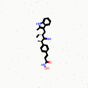 CC[C@H](Cc1c(C)[nH]c2ccccc12)C(=N)[C@H](C)c1ccc(/C=C/C(=O)NO)cc1